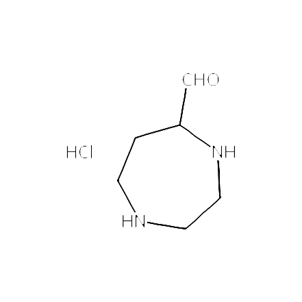 Cl.O=CC1CCNCCN1